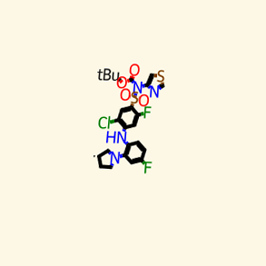 CC(C)(C)OC(=O)N(c1cscn1)S(=O)(=O)c1cc(Cl)c(Nc2ccc(F)cc2N2C[CH]CC2)cc1F